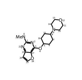 CNc1nc(OC2CCC(N3CCOCC3)CC2)c2occc2n1